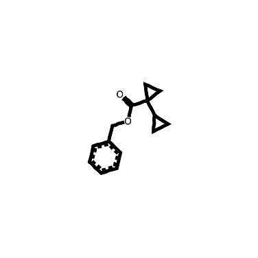 O=C(OCc1ccccc1)C1(C2CC2)CC1